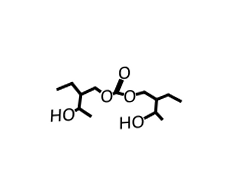 CCC(COC(=O)OCC(CC)C(C)O)C(C)O